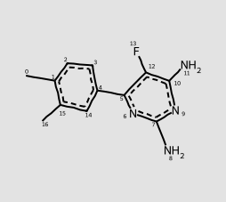 Cc1ccc(-c2nc(N)nc(N)c2F)cc1C